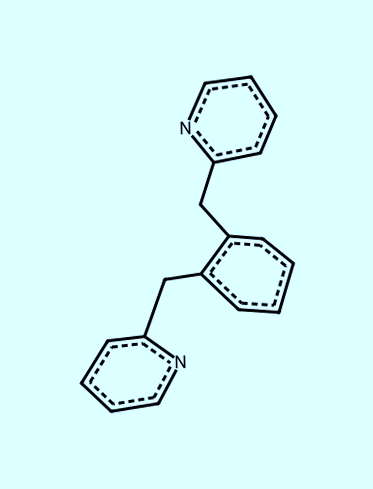 c1ccc(Cc2ccccc2Cc2ccccn2)nc1